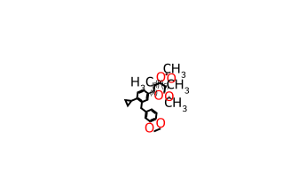 COC1O[C@@H](c2ccc(C3CC3)c(Cc3ccc4c(c3)OCCO4)c2)[C@H](C)[C@@H](OC(C)=O)[C@@H]1C